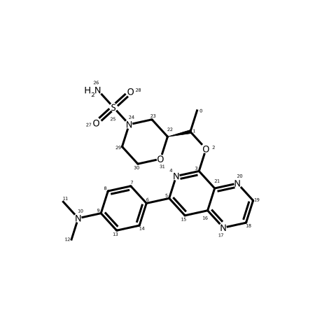 CC(Oc1nc(-c2ccc(N(C)C)cc2)cc2nccnc12)[C@@H]1CN(S(N)(=O)=O)CCO1